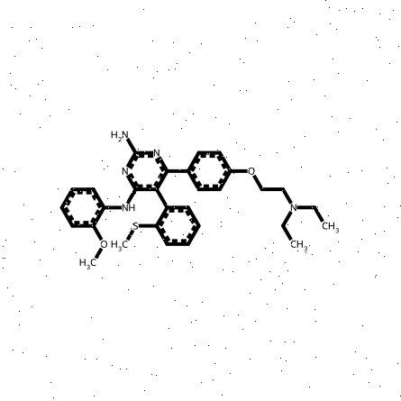 CCN(CC)CCOc1ccc(-c2nc(N)nc(Nc3ccccc3OC)c2-c2ccccc2SC)cc1